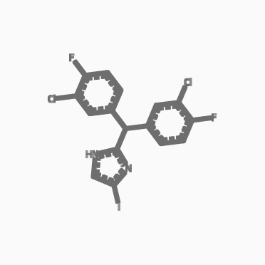 Fc1ccc(C(c2ccc(F)c(Cl)c2)c2nc(I)c[nH]2)cc1Cl